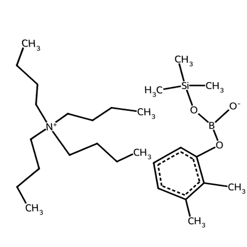 CCCC[N+](CCCC)(CCCC)CCCC.Cc1cccc(OB([O-])O[Si](C)(C)C)c1C